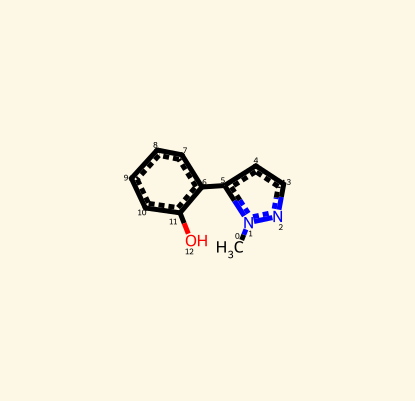 Cn1n[c]cc1-c1ccccc1O